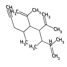 C#CCC(C)C(C(=C)C)C(C(=C)C)C(C)[PH](=C)C